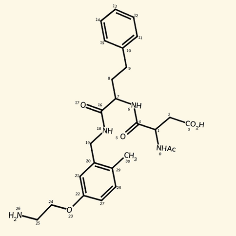 CC(=O)NC(CC(=O)O)C(=O)NC(CCc1ccccc1)C(=O)NCc1cc(OCCN)ccc1C